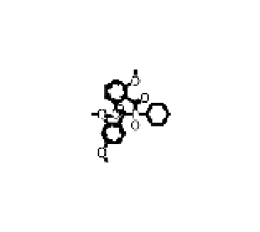 COc1ccc(C(=O)P(=O)(C(=O)c2c(OC)cccc2OC)C2CCCCC2)c(OC)c1